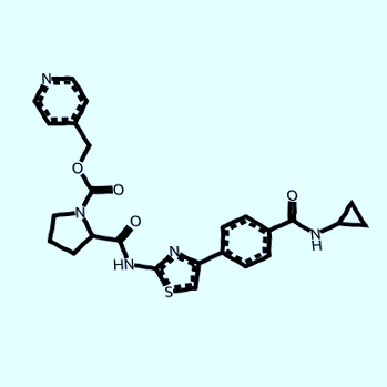 O=C(NC1CC1)c1ccc(-c2csc(NC(=O)C3CCCN3C(=O)OCc3ccncc3)n2)cc1